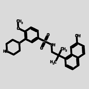 COc1ccc(S(=O)(=O)NCC(C)(C)c2cccc3ccc(O)cc23)cc1N1CCNCC1